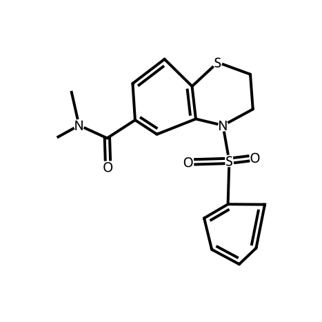 CN(C)C(=O)c1ccc2c(c1)N(S(=O)(=O)c1ccccc1)CCS2